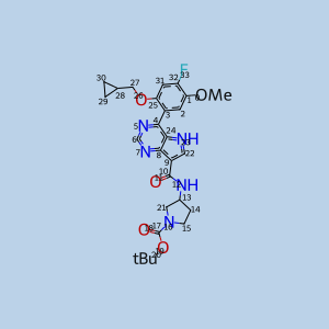 COc1cc(-c2ncnc3c(C(=O)NC4CCN(C(=O)OC(C)(C)C)C4)c[nH]c23)c(OCC2CC2)cc1F